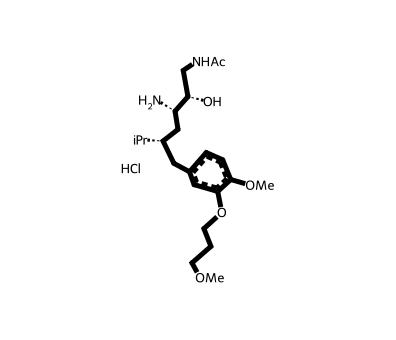 COCCCOc1cc(C[C@@H](C[C@H](N)[C@@H](O)CNC(C)=O)C(C)C)ccc1OC.Cl